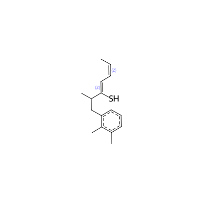 C/C=C\C=C(/S)C(C)Cc1cccc(C)c1C